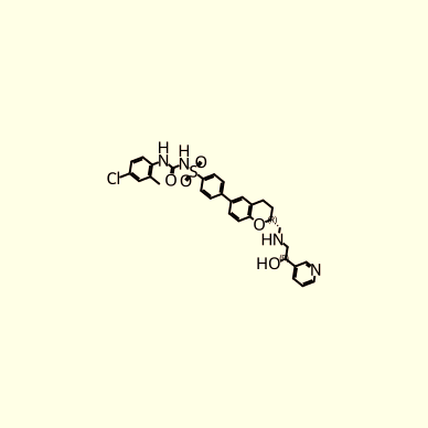 Cc1cc(Cl)ccc1NC(=O)NS(=O)(=O)c1ccc(-c2ccc3c(c2)CC[C@H](CNC[C@H](O)c2cccnc2)O3)cc1